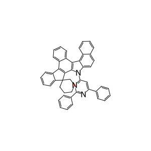 c1ccc(-c2cc(-n3c4ccc5ccccc5c4c4c5ccccc5c5c(c43)C3(CCCCC3)c3ccccc3-5)nc(-c3ccccc3)n2)cc1